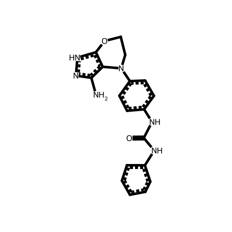 Nc1n[nH]c2c1N(c1ccc(NC(=O)Nc3ccccc3)cc1)CCO2